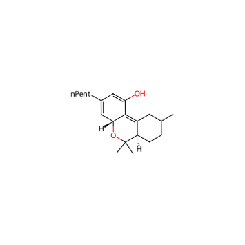 CCCCCC1=C[C@H]2OC(C)(C)[C@@H]3CCC(C)CC3=C2C(O)=C1